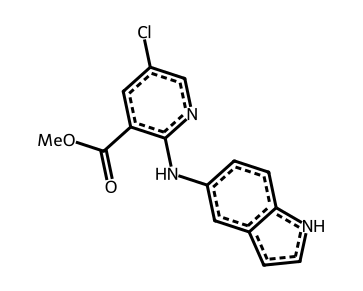 COC(=O)c1cc(Cl)cnc1Nc1ccc2[nH]ccc2c1